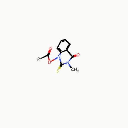 CC(C)C(=O)On1c(=S)n(C)c(=O)c2ccccc21